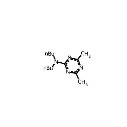 CCCCN(CCCC)c1nc(C)nc(C)n1